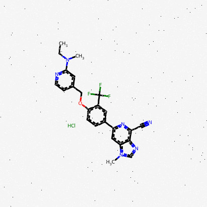 CCN(C)c1cc(COc2ccc(-c3cc4c(ncn4C)c(C#N)n3)cc2C(F)(F)F)ccn1.Cl